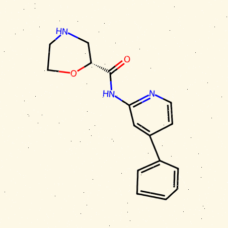 O=C(Nc1cc(-c2ccccc2)ccn1)[C@H]1CNCCO1